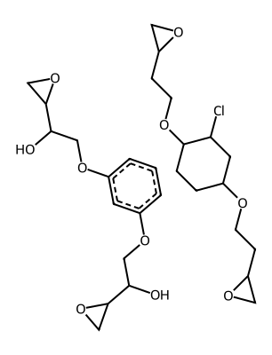 ClC1CC(OCCC2CO2)CCC1OCCC1CO1.OC(COc1cccc(OCC(O)C2CO2)c1)C1CO1